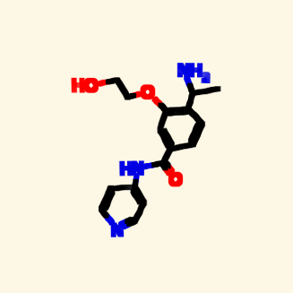 CC(N)c1ccc(C(=O)Nc2ccncc2)cc1OCCO